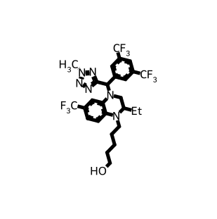 CCC1CN(C(c2cc(C(F)(F)F)cc(C(F)(F)F)c2)c2nnn(C)n2)c2cc(C(F)(F)F)ccc2N1CCCCCO